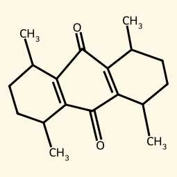 CC1CCC(C)C2=C1C(=O)C1=C(C2=O)C(C)CCC1C